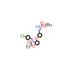 CCC1Oc2cccc(Oc3cccc(CCNC(=O)OC(C)(C)C)c3)c2N(Cc2ccc(Cl)cc2)C1=O